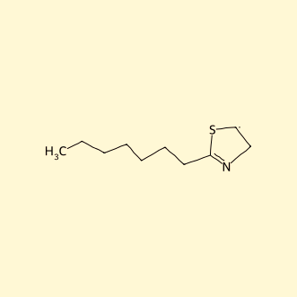 CCCCCCCC1=NC[CH]S1